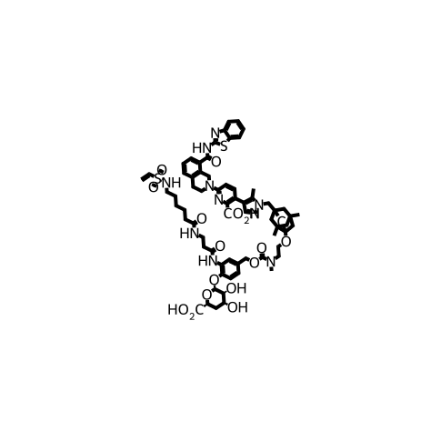 C=CS(=O)(=O)NCCCCCC(=O)NCCC(=O)Nc1cc(COC(=O)N(C)CCOC23CC4(C)CC(Cn5ncc(-c6ccc(N7CCc8cccc(C(=O)Nc9nc%10ccccc%10s9)c8C7)nc6C(=O)O)c5C)(CC2(C)C4)C3)ccc1O[C@@H]1O[C@H](C(=O)O)C[C@H](O)[C@H]1O